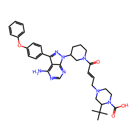 CC(C)(C)C1CN(CC=CC(=O)N2CCCC(n3nc(-c4ccc(Oc5ccccc5)cc4)c4c(N)ncnc43)C2)CCN1C(=O)O